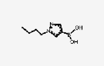 CCCCn1cc(B(O)O)cn1